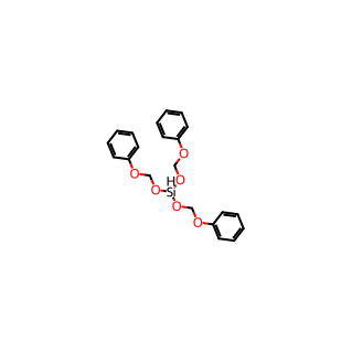 c1ccc(OCO[SiH](OCOc2ccccc2)OCOc2ccccc2)cc1